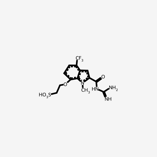 Cn1c(C(=O)NC(=N)N)cc2c(C(F)(F)F)ccc(OCCS(=O)(=O)O)c21